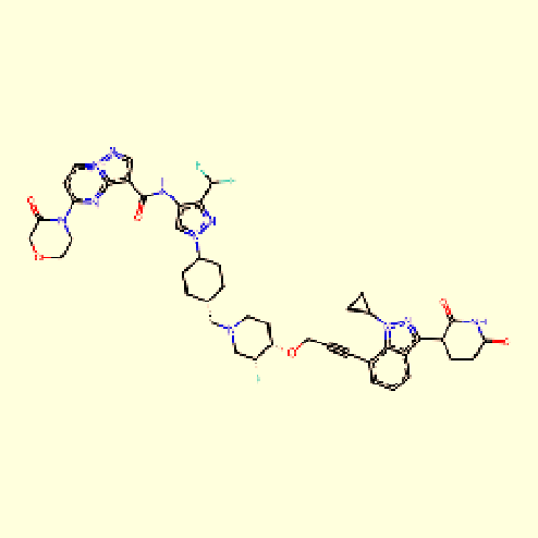 O=C1CCC(c2nn(C3CC3)c3c(C#CCO[C@H]4CCN(C[C@H]5CC[C@H](n6cc(NC(=O)c7cnn8ccc(N9CCOCC9=O)nc78)c(C(F)F)n6)CC5)C[C@H]4F)cccc23)C(=O)N1